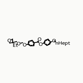 CCCCCCCOc1ccc(OC(=O)c2ccc(OCOCC3(CC)COC3)cc2)cc1